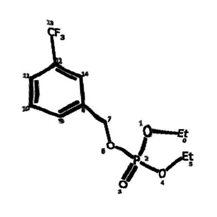 CCOP(=O)(OCC)OCc1cccc(C(F)(F)F)c1